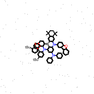 CC(C)(C)c1ccc(N2c3cc(N(c4ccccc4)c4ccccc4)cc4c3B(c3cc5c(cc3N4c3ccc4oc6ccccc6c4c3)C(C)(C)CCC5(C)C)c3ccc4sc5c(C(C)(C)C)cccc5c4c32)c(-c2ccccc2)c1